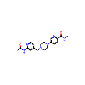 CNC(=O)c1ccc(N2CCN(Cc3ccnc(NC(C)=O)c3)CC2)cn1